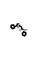 O=C(Cc1nc(-c2ccccc2)cs1)Nc1ccccc1